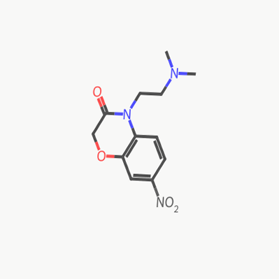 CN(C)CCN1C(=O)COc2cc([N+](=O)[O-])ccc21